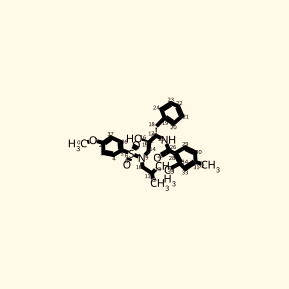 COc1ccc(S(=O)(=O)N(CC(C)C)C[C@@H](O)[C@H](Cc2ccccc2)NC(=O)c2ccc(C)cc2C)cc1